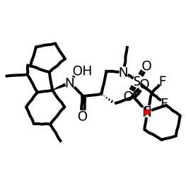 CC1CCC(C(C)C)[C@@](C2CCCC2)(N(O)C(=O)[C@@H](CC(=O)N2CCCCC2)CN(C)S(=O)(=O)C(F)(F)F)C1